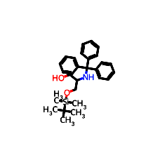 CC(C)(C)[Si](C)(C)OCC(CO)NC(c1ccccc1)(c1ccccc1)c1ccccc1